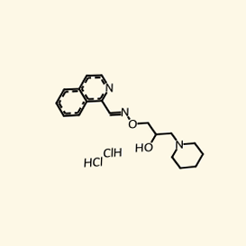 Cl.Cl.OC(CON=Cc1nccc2ccccc12)CN1CCCCC1